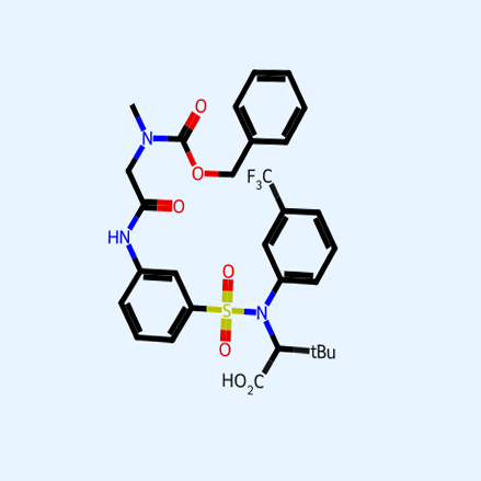 CN(CC(=O)Nc1cccc(S(=O)(=O)N(c2cccc(C(F)(F)F)c2)C(C(=O)O)C(C)(C)C)c1)C(=O)OCc1ccccc1